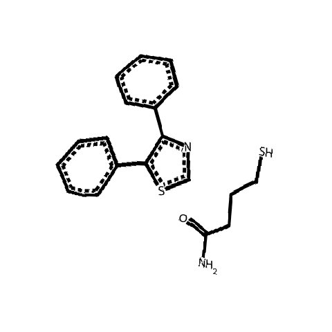 NC(=O)CCCS.c1ccc(-c2ncsc2-c2ccccc2)cc1